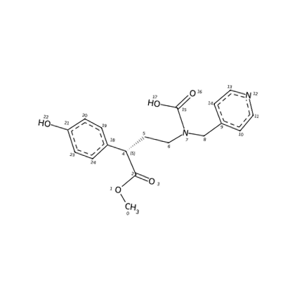 COC(=O)[C@@H](CCN(Cc1ccncc1)C(=O)O)c1ccc(O)cc1